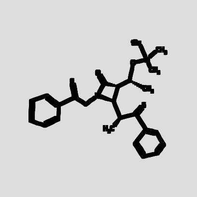 C[C@H](C(=S)c1ccccc1)[C@@H]1[C@@H]([C@@H](C)O[Si](C)(C)C(C)(C)C)C(=O)N1CC(=S)c1ccccc1